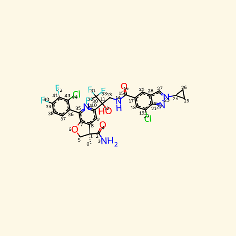 C[C@]1(C(N)=O)COc2c1cc(C(O)(CNC(=O)c1cc(Cl)c3nn(C4CC4)cc3c1)C(F)(F)F)nc2-c1ccc(F)c(F)c1Cl